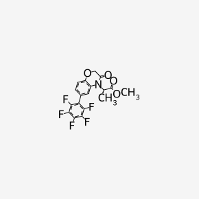 COC(=O)[C@@H](C)N1C(=O)COc2ccc(-c3c(F)c(F)c(F)c(F)c3F)cc21